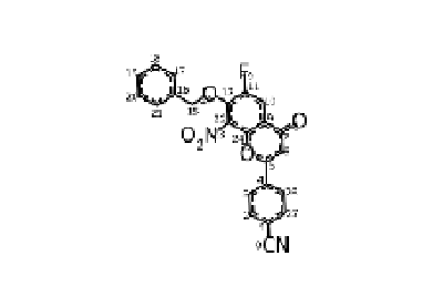 N#Cc1ccc(-c2cc(=O)c3cc(F)c(OCc4ccccc4)c([N+](=O)[O-])c3o2)cc1